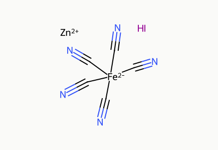 I.N#[C][Fe-2]([C]#N)([C]#N)([C]#N)[C]#N.[Zn+2]